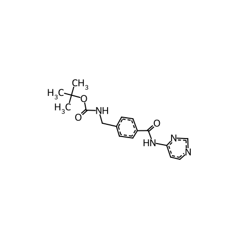 CC(C)(C)OC(=O)NCc1ccc(C(=O)Nc2ccncn2)cc1